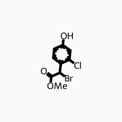 COC(=O)C(Br)c1ccc(O)cc1Cl